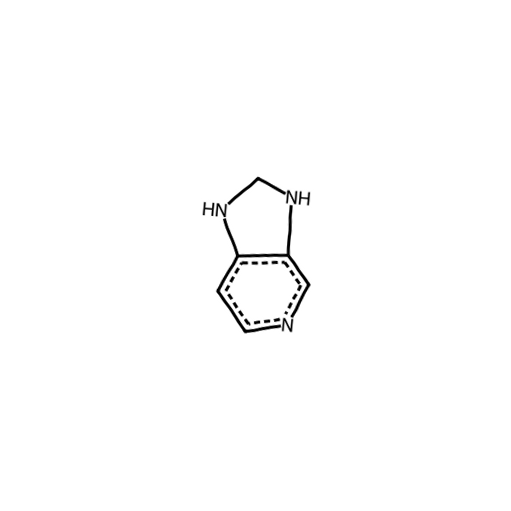 c1cc2c(cn1)NCN2